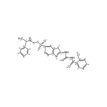 CC(NCCS(=O)(=O)c1ccc2nc(NC(=O)NC(=O)c3ccccc3Cl)sc2c1)c1ccccc1